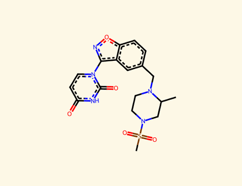 CC1CN(S(C)(=O)=O)CCN1Cc1ccc2onc(-n3ccc(=O)[nH]c3=O)c2c1